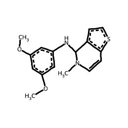 COc1cc(NC2c3ccsc3C=CN2C)cc(OC)c1